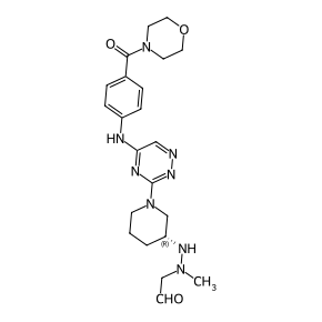 CN(CC=O)N[C@@H]1CCCN(c2nncc(Nc3ccc(C(=O)N4CCOCC4)cc3)n2)C1